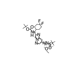 CCOC[C@@H](N[S@+]([O-])C(C)(C)C)c1cnn2cc([C@@H](NC(=O)OC(C)(C)C)C3CCC(F)(F)CC3)nc2c1